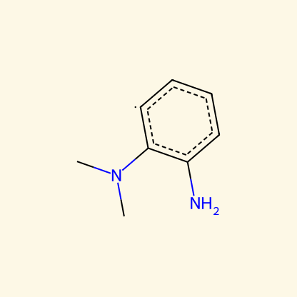 CN(C)c1[c]cccc1N